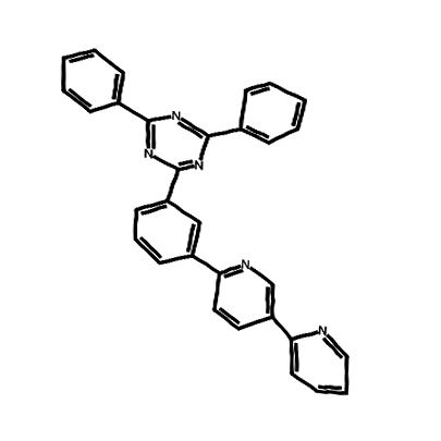 c1ccc(-c2nc(-c3ccccc3)nc(-c3cccc(-c4ccc(-c5ccccn5)cn4)c3)n2)cc1